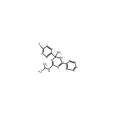 CC(C)NC1=NC(N)(c2ccc(F)nc2)NC(c2ccccc2)=N1